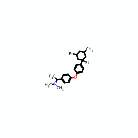 CCC1CC(C)CC(CC)(c2ccc(Oc3ccc(C(N(C)C)C(F)(F)F)cc3)cc2)C1